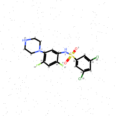 O=S(=O)(Nc1cc(N2CCNCC2)c(F)cc1F)c1cc(Cl)cc(Cl)c1